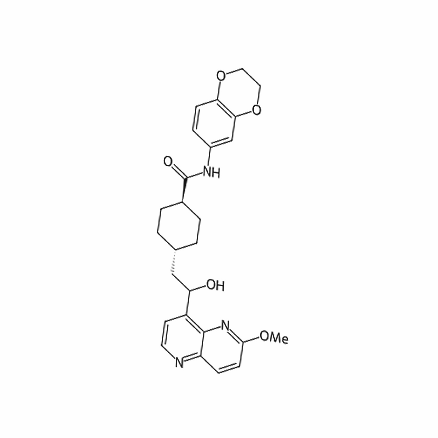 COc1ccc2nccc(C(O)C[C@H]3CC[C@H](C(=O)Nc4ccc5c(c4)OCCO5)CC3)c2n1